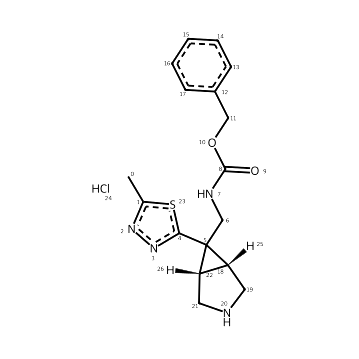 Cc1nnc(C2(CNC(=O)OCc3ccccc3)[C@@H]3CNC[C@@H]32)s1.Cl